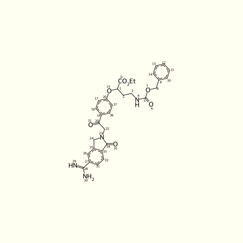 CCOC(=O)C(CCNC(=O)OCc1ccccc1)Oc1ccc(C(=O)CN2Cc3cc(C(=N)N)ccc3C2=O)cc1